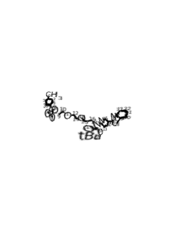 Cc1ccc(S(=O)(=O)OCCOCCOCCN(C(=O)OC(C)(C)C)c2ccc(-c3ccc4ccccc4n3)cn2)cc1